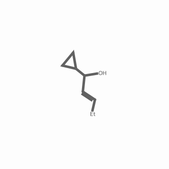 CC/C=C/C(O)C1CC1